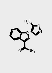 Cc1ccno1.NC(=O)c1noc2ccccc12